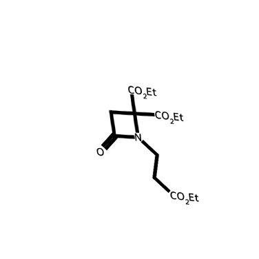 CCOC(=O)CCN1C(=O)CC1(C(=O)OCC)C(=O)OCC